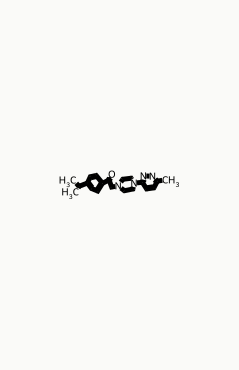 Cc1ccc(N2CCN(CC(=O)c3ccc(C(C)C)cc3)CC2)nn1